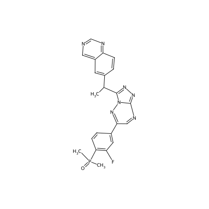 CC(c1ccc2ncncc2c1)c1nnc2ncc(-c3ccc(P(C)(C)=O)c(F)c3)nn12